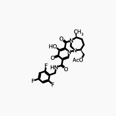 CC(=O)OC[C@@H]1CC[C@H](C)N2CN1n1cc(C(=O)NCc3c(F)cc(F)cc3F)c(=O)c(O)c1C2=O